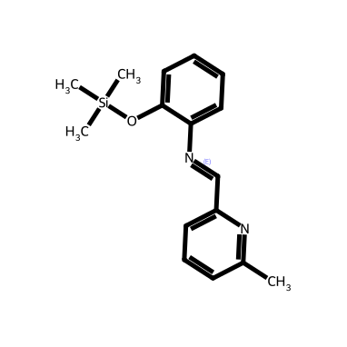 Cc1cccc(/C=N/c2ccccc2O[Si](C)(C)C)n1